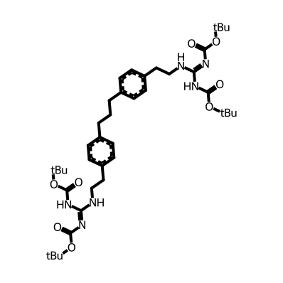 CC(C)(C)OC(=O)/N=C(/NCCc1ccc(CCCc2ccc(CCN/C(=N\C(=O)OC(C)(C)C)NC(=O)OC(C)(C)C)cc2)cc1)NC(=O)OC(C)(C)C